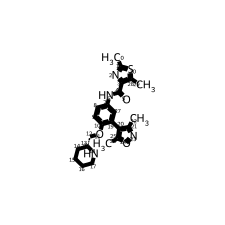 Cc1nc(C(=O)Nc2ccc(OC[C@H]3CCCCN3)c(-c3c(C)noc3C)c2)c(C)s1